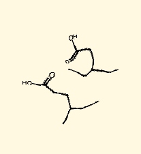 CCC(C)CCC(=O)O.CCC(CC)CC(=O)O